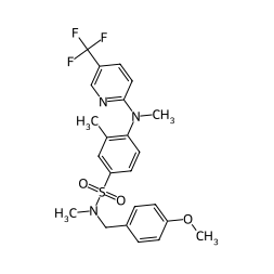 COc1ccc(CN(C)S(=O)(=O)c2ccc(N(C)c3ccc(C(F)(F)F)cn3)c(C)c2)cc1